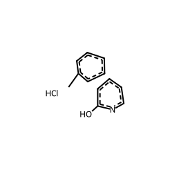 Cc1ccccc1.Cl.Oc1ccccn1